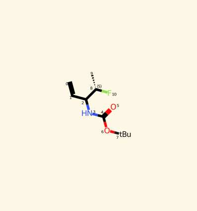 C=CC(NC(=O)OC(C)(C)C)[C@H](C)F